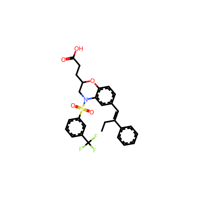 CCC(=Cc1ccc2c(c1)N(S(=O)(=O)c1cccc(C(F)(F)F)c1)CC(CCC(=O)O)O2)c1ccccc1